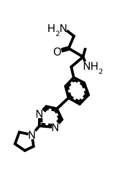 CC(N)(Cc1cccc(-c2cnc(N3CCCC3)nc2)c1)C(=O)CN